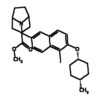 COC(=O)C1CC2CCC(C1)N2Cc1ccc2c(I)c(O[C@H]3CC[C@@H](C)CC3)ccc2c1